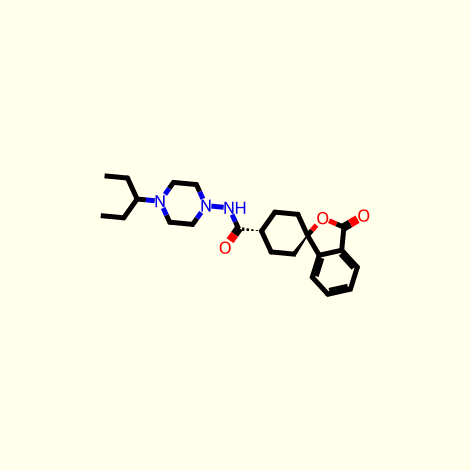 CCC(CC)N1CCN(NC(=O)[C@H]2CC[C@@]3(CC2)OC(=O)c2ccccc23)CC1